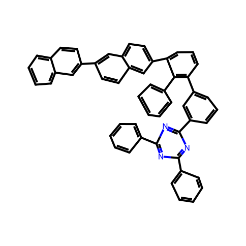 c1ccc(-c2nc(-c3ccccc3)nc(-c3cccc(-c4cccc(-c5ccc6cc(-c7ccc8ccccc8c7)ccc6c5)c4-c4ccccc4)c3)n2)cc1